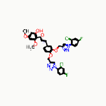 COc1cc(O)c(C(=O)/C=C/c2ccc(OCc3cn(-c4ccc(F)cc4Cl)nn3)c(OCc3cn(-c4ccc(F)cc4Cl)nn3)c2)c(OC)c1